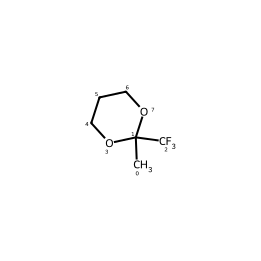 CC1(C(F)(F)F)OCCCO1